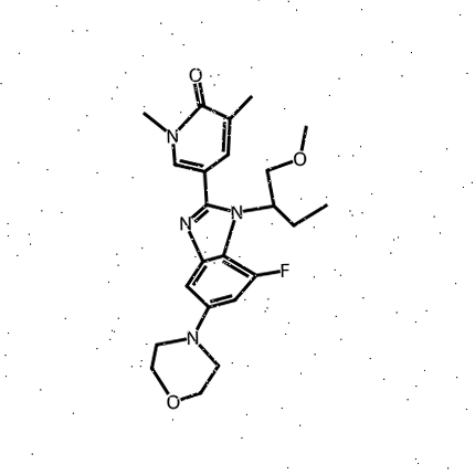 CCC(COC)n1c(-c2cc(C)c(=O)n(C)c2)nc2cc(N3CCOCC3)cc(F)c21